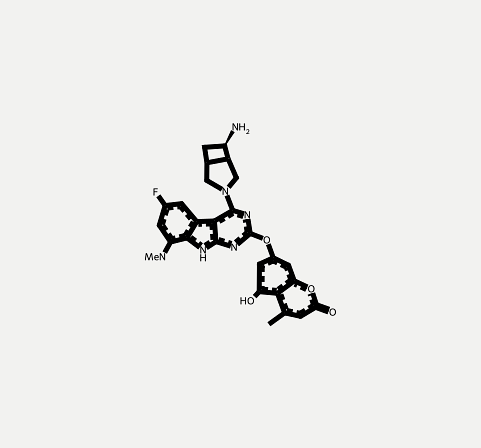 CNc1cc(F)cc2c1[nH]c1nc(Oc3cc(O)c4c(C)cc(=O)oc4c3)nc(N3CC4C[C@@H](N)C4C3)c12